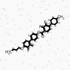 C=CCCOc1ccc(-c2ccc(OC(=O)c3ccc(C4CCC(C)CC4)c(F)c3F)cc2)c(F)c1F